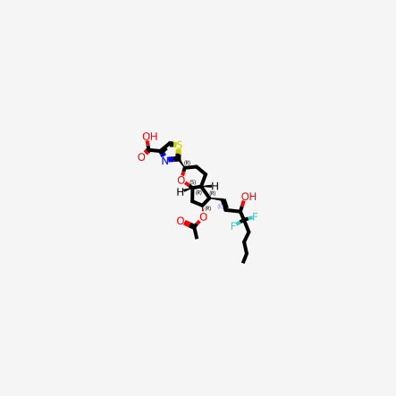 CCCCC(F)(F)C(O)/C=C/[C@@H]1[C@H]2CC[C@H](c3nc(C(=O)O)cs3)O[C@H]2C[C@H]1OC(C)=O